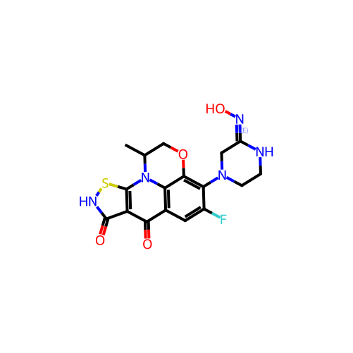 CC1COc2c(N3CCN/C(=N/O)C3)c(F)cc3c(=O)c4c(=O)[nH]sc4n1c23